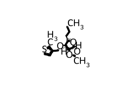 CCCC[C@H]1O[C@@H]2OC(C)O[C@@H]2[C@H]1OCc1ccsc1C